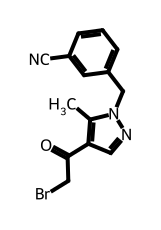 Cc1c(C(=O)CBr)cnn1Cc1cccc(C#N)c1